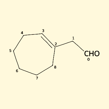 O=CCC1=CCCCCC1